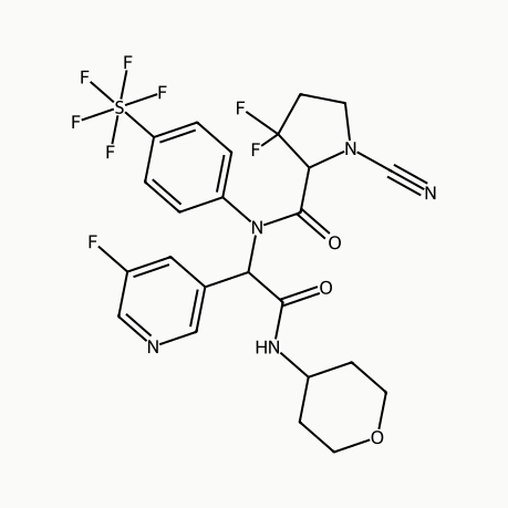 N#CN1CCC(F)(F)C1C(=O)N(c1ccc(S(F)(F)(F)(F)F)cc1)C(C(=O)NC1CCOCC1)c1cncc(F)c1